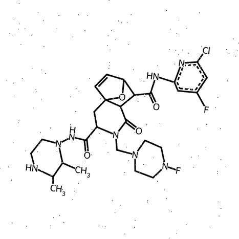 CC1NCCN(NC(=O)C2CC34C=CC(O3)C(C(=O)Nc3cc(F)cc(Cl)n3)C4C(=O)N2CN2CCN(F)CC2)C1C